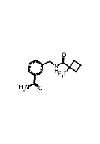 NC(=O)c1cccc(CNC(=O)C2(C(F)(F)F)CCC2)c1